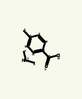 CNC.Cc1ccc(C(=O)Cl)cc1